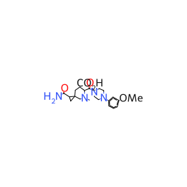 COc1cccc(N2CCN(C(=O)C3C(C(=O)O)CC4(CC4C(N)=O)CN3C)CC2)c1